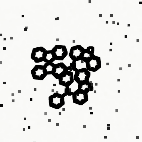 c1ccc(N(c2ccccc2)c2cccc3sc4ccc(N(c5ccc6c(c5)C5(c7ccccc7-c7ccccc75)c5ccccc5-6)c5cccc6oc7ccccc7c56)cc4c23)cc1